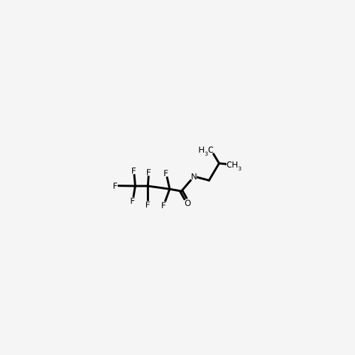 CC(C)C[N]C(=O)C(F)(F)C(F)(F)C(F)(F)F